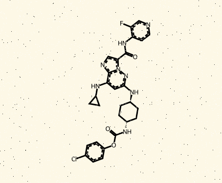 O=C(N[C@H]1CC[C@H](Nc2cc(NC3CC3)c3ncc(C(=O)Nc4ccncc4F)n3n2)CC1)Oc1ccc(Cl)cc1